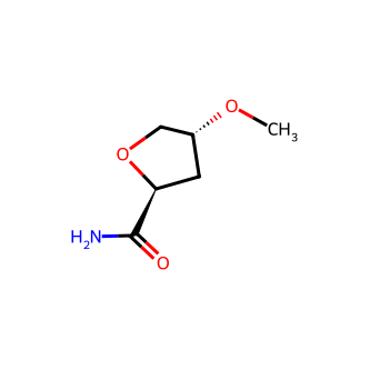 CO[C@H]1CO[C@H](C(N)=O)C1